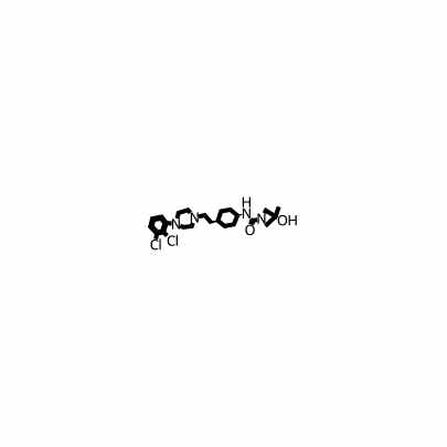 CC1(O)CN(C(=O)N[C@H]2CC[C@H](CCN3CCN(c4cccc(Cl)c4Cl)CC3)CC2)C1